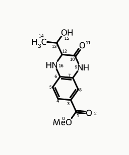 COC(=O)c1ccc2c(c1)NC(=O)C(C(C)O)N2